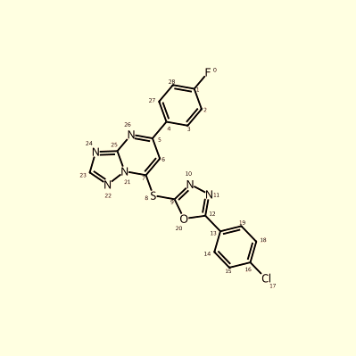 Fc1ccc(-c2cc(Sc3nnc(-c4ccc(Cl)cc4)o3)n3ncnc3n2)cc1